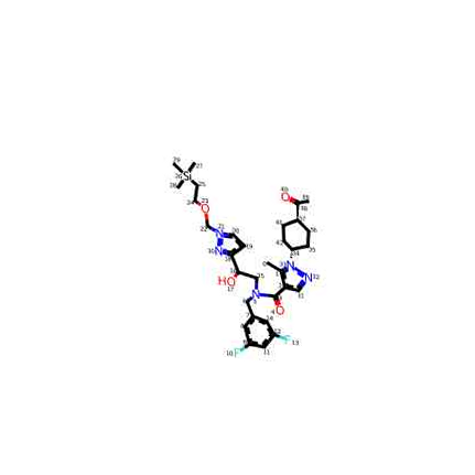 Cc1c(C(=O)N(Cc2cc(F)cc(F)c2)CC(O)c2ccn(COCC[Si](C)(C)C)n2)cnn1[C@H]1CC[C@H](C(C)=O)CC1